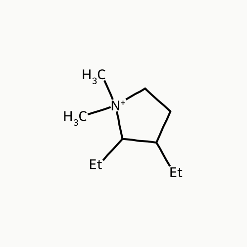 CCC1CC[N+](C)(C)C1CC